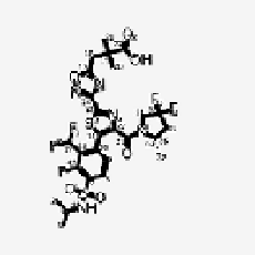 CC(C)NS(=O)(=O)c1ccc(-c2sc(-c3noc(CC(C)(C)C(=O)O)n3)nc2C(=O)N2CC(F)(F)C[C@@H]2C)c(C(F)F)c1F